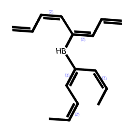 C=C/C=C\C(BC(/C=C\C)=C/C=C\C)=C/C=C